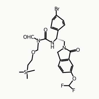 C[Si](C)(C)CCOCN(C=O)C(=O)N[C@@H](CN1Cc2ccc(OC(F)F)cc2C1=O)c1ccc(Br)cc1